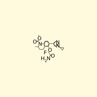 COC(=O)N1c2ccc(-c3cnn(C4CC4)c3)c(O[C@@H](F)C(N)=O)c2CCC1C